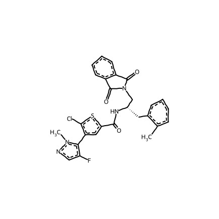 Cc1ccccc1C[C@@H](CN1C(=O)c2ccccc2C1=O)NC(=O)c1cc(-c2c(F)cnn2C)c(Cl)s1